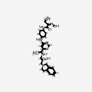 CC(C)C/C(=N/O)C(=O)NC1CCC(Nc2cc(C(O)NC[C@H](O)CN3CCc4ccccc4C3)ncn2)CC1